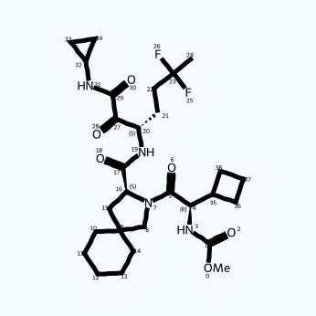 COC(=O)N[C@@H](C(=O)N1CC2(CCCCC2)C[C@H]1C(=O)N[C@@H](CCC(C)(F)F)C(=O)C(=O)NC1CC1)C1CCC1